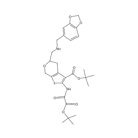 CC(C)(C)OC(=O)C(=O)Nc1sc2c(c1C(=O)OC(C)(C)C)CC(CNCc1ccc3c(c1)OCO3)OC2